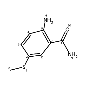 CSc1ccc(N)c(C(N)=O)c1